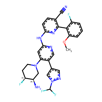 COc1cccc(F)c1-c1nc(Nc2cc(N3CC[C@H](F)[C@H](N)C3)c(-c3cnn(C(F)F)c3)cn2)ccc1C#N